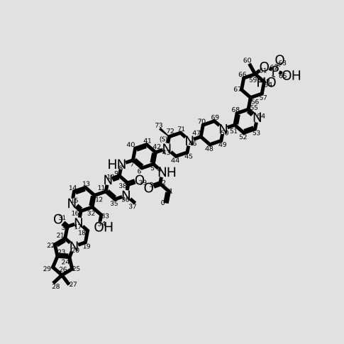 C=CC(=O)Nc1cc(Nc2nc(-c3ccnc(N4CCn5c(cc6c5CC(C)(C)C6)C4=O)c3CO)cn(C)c2=O)ccc1N1CCN(C2CCN(c3ccnc(C4CCC(C)(OP(=O)(O)O)CC4)c3)CC2)C[C@@H]1C